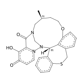 C[C@H]1CCOc2cccc3c2[C@H](c2ccccc2SC3)N2CN(C1)C(=O)c1c(O)c(=O)ccn12